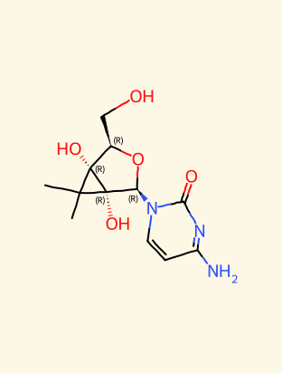 CC1(C)[C@]2(O)[C@H](n3ccc(N)nc3=O)O[C@H](CO)[C@]12O